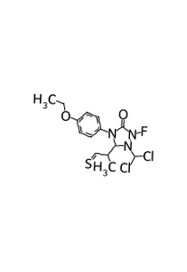 CCOc1ccc(N2C(=O)N(F)N(C(Cl)Cl)C2C(C)C=S)cc1